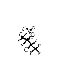 O=S(=O)(Cl)C(F)(F)C(F)(F)C(F)(Cl)C(F)(F)Cl